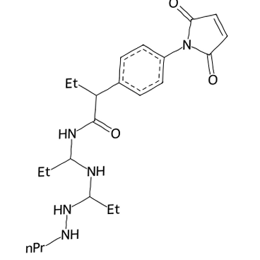 CCCNNC(CC)NC(CC)NC(=O)C(CC)c1ccc(N2C(=O)C=CC2=O)cc1